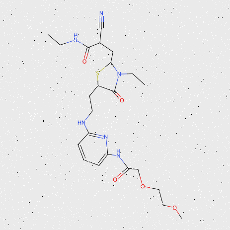 CCNC(=O)C(C#N)CC1SC(CCNc2cccc(NC(=O)COCCOC)n2)C(=O)N1CC